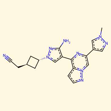 Cn1cc(-c2cn3nccc3c(-c3cn([C@H]4C[C@H](CC#N)C4)nc3N)n2)cn1